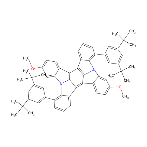 COc1ccc2c3c4c5cccc(-c6cc(C(C)(C)C)cc(C(C)(C)C)c6)c5n5c6cc(OC)ccc6c(c6c7cccc(-c8cc(C(C)(C)C)cc(C(C)(C)C)c8)c7n(c2c1)c36)c45